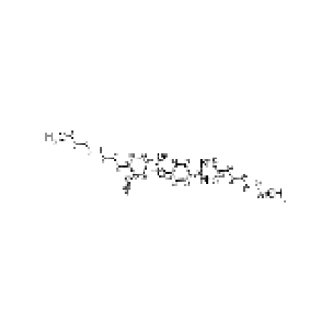 CCCCCCCCCc1ccc(C(=O)Oc2ccc(-c3ncc(CCCCCCC)cn3)cc2)cc1C#N